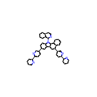 c1ccc(-c2ccc(-c3ccc4c(c3)c3cc(-c5ccc(-c6ccccn6)nc5)c5ccccc5c3n4-c3nccc4ccccc34)cn2)nc1